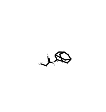 O=C(CCl)OC1C2CC3CC(C2)CC1C3